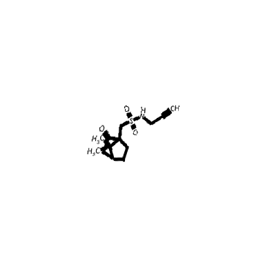 C#CCNS(=O)(=O)CC12CCC(CC1=O)C2(C)C